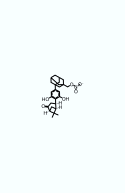 CC1(C)[C@@H]2C[C@H]1[C@H](c1c(O)cc(C34CC5CC(CC(CO[N+](=O)[O-])(C5)C3)C4)cc1O)CC2=O